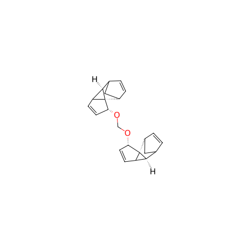 C1=CC2CC1[C@H]1C3C=C[C@H](OCO[C@@H]4C=CC5[C@H]6C7C=CC(C7)[C@]564)[C@]231